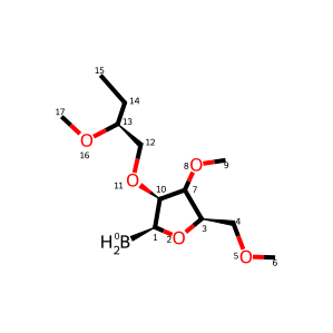 B[C@@H]1O[C@H](COC)C(OC)[C@@H]1OC[C@H](CC)OC